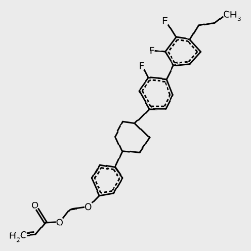 C=CC(=O)OCOc1ccc(C2CCC(c3ccc(-c4ccc(CCC)c(F)c4F)c(F)c3)CC2)cc1